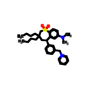 CCCCC1(CCCC)C[C@H](c2cccc(C[n+]3ccccc3)c2)c2cc(N(C)C)ccc2S(=O)(=O)C1